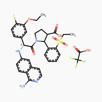 CCOc1cc([C@@H](Nc2ccc3c(N)nccc3c2)C(=O)N2CCC(C(=O)O)C2c2ccccc2S(=O)(=O)CC)ccc1F.O=C(O)C(F)(F)F